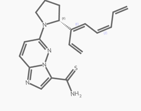 C=C/C=C\C=C(/C=C)[C@H]1CCCN1c1ccc2ncc(C(N)=S)n2n1